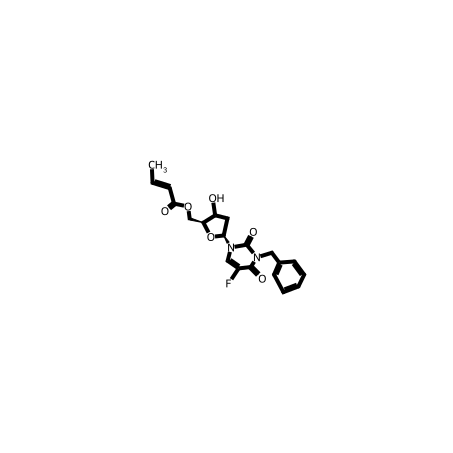 C/C=C/C(=O)OC[C@@H]1O[C@H](n2cc(F)c(=O)n(Cc3ccccc3)c2=O)CC1O